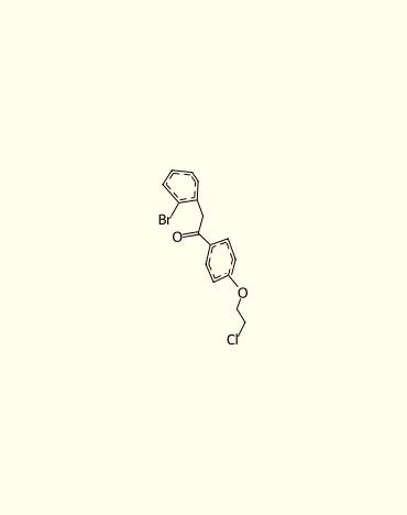 O=C(Cc1ccccc1Br)c1ccc(OCCCl)cc1